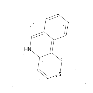 C1=CC2NC=c3ccccc3=C2CS1